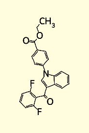 CCOC(=O)c1ccc(-n2cc(C(=O)c3c(F)cccc3F)c3ccccc32)cc1